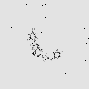 Cc1cnc(CC2CN(C(=O)Nc3nc(-c4ccc(F)cc4F)ccc3N)C2)nc1